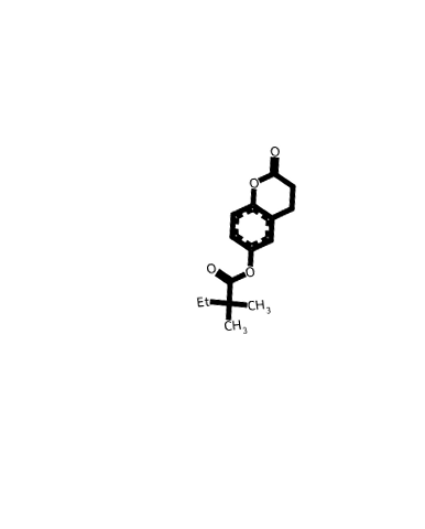 CCC(C)(C)C(=O)Oc1ccc2c(c1)CCC(=O)O2